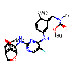 CNC(=O)c1c2ccc(Nc3ncc(F)c(NC4=CC(=CN(C(=O)OC(C)(C)C)C(C)C)C(OC)C=C4)n3)c1OC2